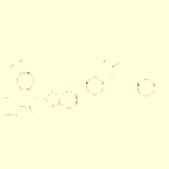 CNCC(=O)N(c1nc2ccc(-c3ccc(N(C[C@H](C)c4ccc(F)cc4)C(=O)C(F)(F)F)cc3)cn2n1)c1ccc(S(C)(=O)=O)cc1OC